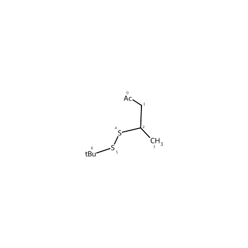 CC(=O)CC(C)SSC(C)(C)C